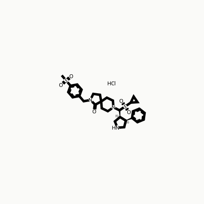 CS(=O)(=O)c1ccc(CN2CCC3(CCN(C([C@@H]4CNC[C@@H]4c4ccccc4)S(=O)(=O)C4CC4)CC3)C2=O)cc1.Cl